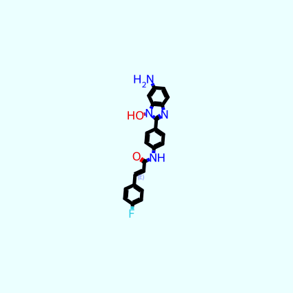 Nc1ccc2nc(-c3ccc(NC(=O)/C=C/c4ccc(F)cc4)cc3)n(O)c2c1